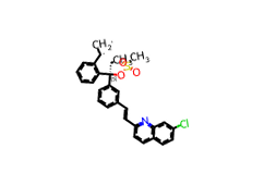 [CH2][CH]c1ccccc1[C@@](CC)(OS(C)(=O)=O)c1cccc(C=Cc2ccc3ccc(Cl)cc3n2)c1